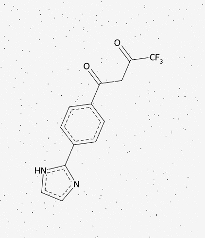 O=C(CC(=O)C(F)(F)F)c1ccc(-c2ncc[nH]2)cc1